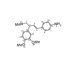 CNCC(/C=C/c1ccc(N)cc1)c1ccc(OC)c(OC)c1